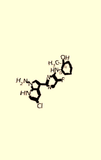 C[C@]1(O)CCCC[C@@H]1Nc1nc(C2=CN(N)C3NC=C(Cl)C=C23)ncc1F